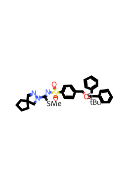 CS/C(=N\S(=O)(=O)c1ccc(CO[Si](c2ccccc2)(c2ccccc2)C(C)(C)C)cc1)N1CC2(C=N1)CCCC2